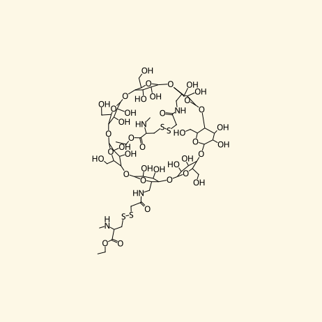 CCOC(=O)C(CSSCC(=O)NCC1OC2OC3C(CO)OC(OC4C(CO)OC(OC5C(CNC(=O)CSSCC(NC)C(=O)OCC)OC(OC6C(CO)OC(OC7C(CO)OC(OC8C(CO)OC(OC1C(O)C2O)C(O)C8O)C(O)C7O)C(O)C6O)C(O)C5O)C(O)C4O)C(O)C3O)NC